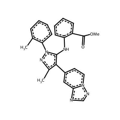 COC(=O)c1ccccc1Nc1c(-c2ccn3ncnc3c2)c(C)nn1-c1ccccc1C